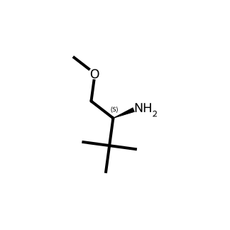 COC[C@@H](N)C(C)(C)C